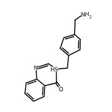 NCc1ccc(C[SH]2C=Nc3ccccc3C2=O)cc1